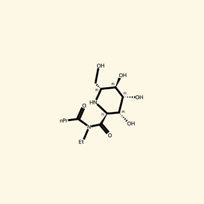 CCCC(=O)N(CC)C(=O)[C@H]1N[C@H](CO)[C@@H](O)[C@H](O)[C@@H]1O